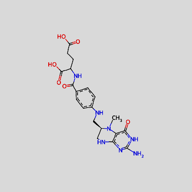 CN1c2c(nc(N)[nH]c2=O)NC[C@H]1CNc1ccc(C(=O)NC(CCC(=O)O)C(=O)O)cc1